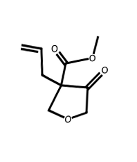 C=CCC1(C(=O)OC)COCC1=O